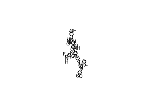 COc1nc2[nH]cc(F)c2cc1Oc1cc(N2CCC3(CC2)CC(N2CCN(Cc4ccc5c(c4)OCO5)C[C@H]2c2ccccc2C(C)C)C3)ccc1C(=O)NS(=O)(=O)c1cnc(NCC2CCC(C)(O)CC2)c([N+](=O)[O-])c1